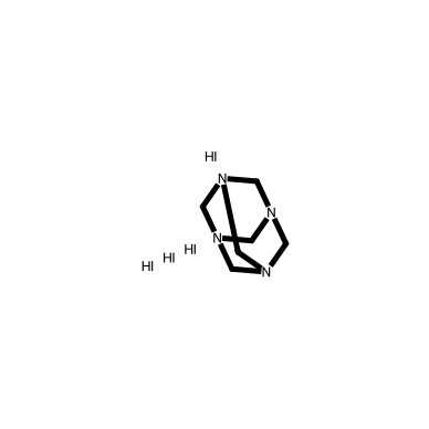 C1N2CN3CN1CN(C2)C3.I.I.I.I